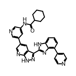 O=C(Nc1cncc(-c2cnc3[nH]nc(-c4nc5c(-c6ccncc6)cccc5[nH]4)c3c2)c1)C1CCCCC1